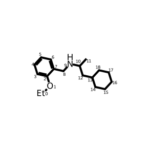 CCOc1ccccc1CNC(C)CC1CCCCC1